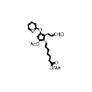 COC(=O)CCCCCC[C@H]1[C@H](CCC=O)[C@@H](OC2CCCCO2)C[C@H]1OC(C)=O